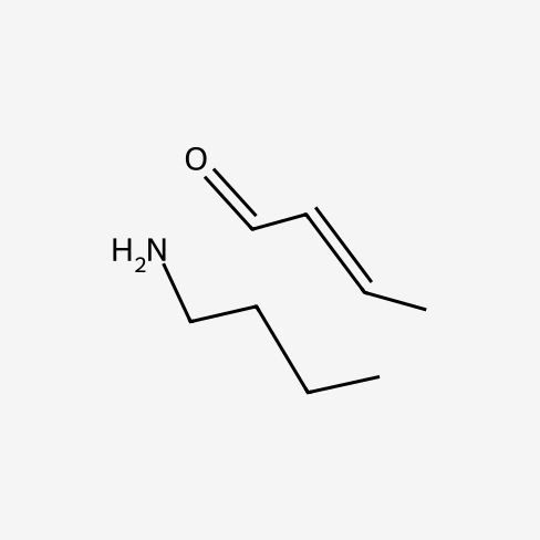 CC=CC=O.CCCCN